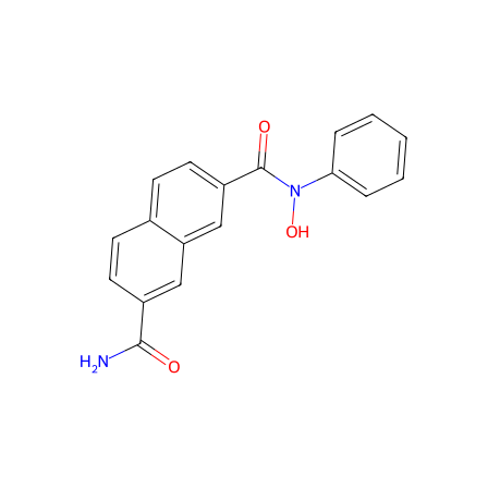 NC(=O)c1ccc2ccc(C(=O)N(O)c3ccccc3)cc2c1